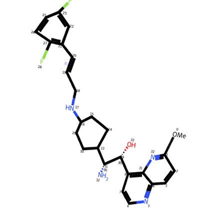 COc1ccc2nccc([C@@H](O)[C@H](N)C3CCC(NC/C=C/c4cc(F)ccc4F)CC3)c2n1